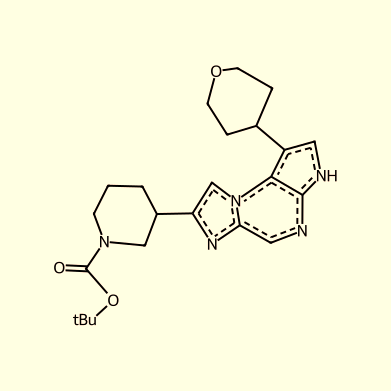 CC(C)(C)OC(=O)N1CCCC(c2cn3c(cnc4[nH]cc(C5CCOCC5)c43)n2)C1